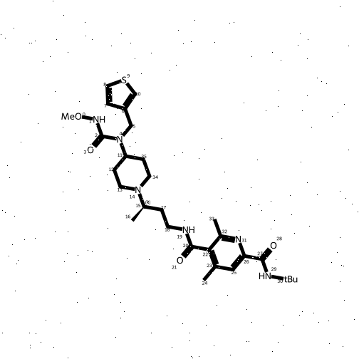 CONC(=O)N(Cc1ccsc1)C1CCN([C@H](C)CCNC(=O)c2c(C)cc(C(=O)NC(C)(C)C)nc2C)CC1